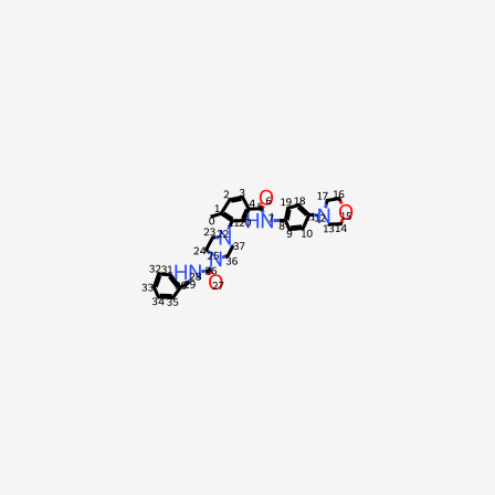 Cc1ccc(C(=O)Nc2ccc(N3CCOCC3)cc2)cc1N1CCN(C(=O)NCc2ccccc2)CC1